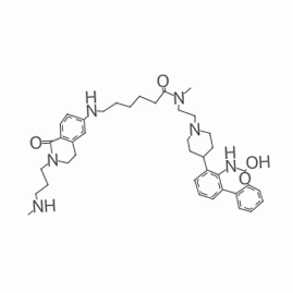 CNCCCN1CCc2cc(NCCCCCC(=O)N(C)CCN3CCC(c4cccc(-c5ccccc5)c4NC(=O)O)CC3)ccc2C1=O